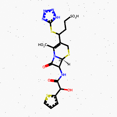 O=C(O)C1=C(C(CCS(=O)(=O)O)Sc2nnn[nH]2)CS[C@H]2C(NC(=O)C(O)c3cccs3)C(=O)N12